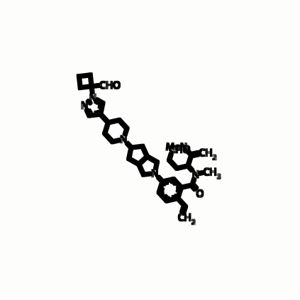 C=Cc1ccc(N2CC3CC(N4CCC(c5cnn(C6(C=O)CCC6)c5)CC4)CC3C2)cc1C(=O)N(C)C(CCC=O)C(=C)NC